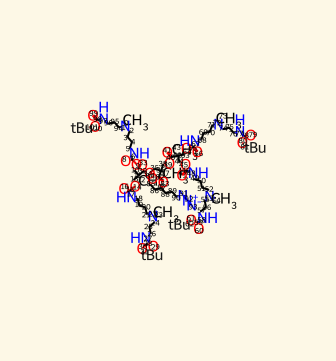 CN(CCCCNC(=O)OCC(C)(COC(=O)NCCCCN(C)CCCNC(=O)OC(C)(C)C)C(=O)OCC(C)(COC(=O)C(C)(COC(=O)NCCCCN(C)CCCNC(=O)OC(C)(C)C)COC(=O)NCCCCN(C)CCCNC(=O)OC(C)(C)C)C(=O)OCCCCCCN=[N+]=[N-])CCCNC(=O)OC(C)(C)C